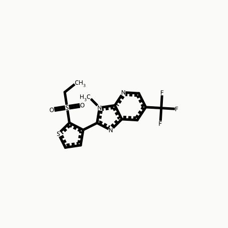 CCS(=O)(=O)c1sccc1-c1nc2cc(C(F)(F)F)cnc2n1C